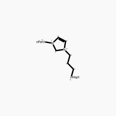 CCCCCCCCCCN1C=CN(CCCCC)C1